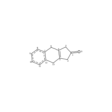 O=C1CC2=C(C1)Cc1ccccc1C2